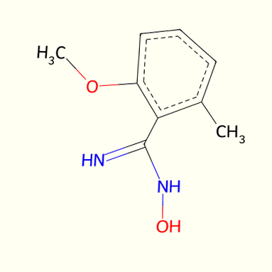 COc1cccc(C)c1C(=N)NO